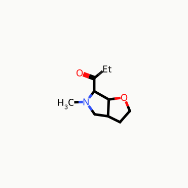 CCC(=O)C1C2OCCC2CN1C